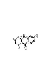 CC1COCCN1C(=O)c1ccc(Cl)cc1N